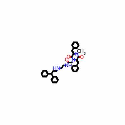 Cn1c(=O)/c(=C/c2ccccc2)n(CC(=O)NCCNCCC(c2ccccc2)c2ccccc2)c(=O)/c1=C/c1ccccc1